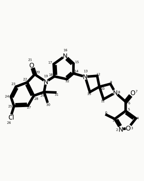 Cc1nocc1C(=O)N1CC2(C1)CN(c1cncc(N3C(=O)c4ccc(Cl)cc4C3(C)C)c1)C2